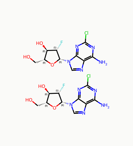 Nc1nc(Cl)nc2c1ncn2[C@@H]1O[C@H](CO)[C@@H](O)[C@@H]1F.Nc1nc(Cl)nc2c1ncn2[C@@H]1O[C@H](CO)[C@@H](O)[C@@H]1F